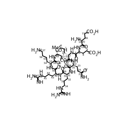 CSCC[C@H](NC(=O)[C@H](CCC(=O)O)NC(=O)[C@@H](N)CCC(=O)O)C(=O)N[C@@H](CCC(N)=O)C(=O)N[C@@H](CCCNC(=N)N)C(=O)N[C@@H](CCCNC(=N)N)C(=O)N[C@@H](CCCCN)C(=O)N[C@@H](CC(=O)O)C(=O)O